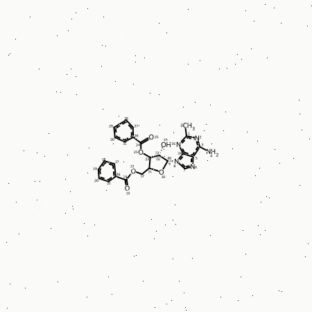 Cc1nc(N)c2ncn([C@@H]3OC(COC(=O)c4ccccc4)C(OC(=O)c4ccccc4)[C@@H]3O)c2n1